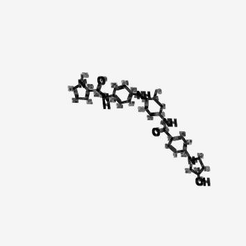 CC1CC(NC(=O)c2ccc(N3CCC(O)C3)cc2)=CC=C1Nc1ccc(NC(=O)c2cccn2C)cc1